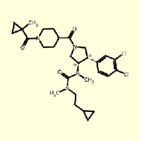 CN(CCC1CC1)C(=O)N(C)[C@H]1CN(C(=O)C2CCN(C(=O)C3(C)CC3)CC2)C[C@@H]1c1ccc(Cl)c(Cl)c1